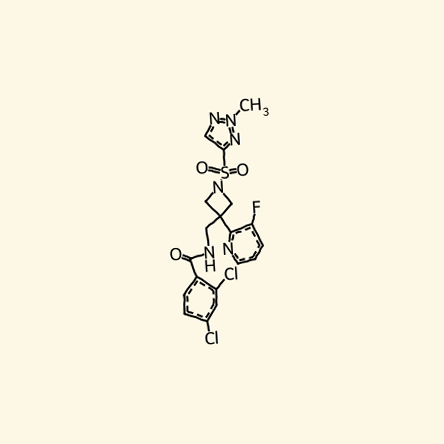 Cn1ncc(S(=O)(=O)N2CC(CNC(=O)c3ccc(Cl)cc3Cl)(c3ncccc3F)C2)n1